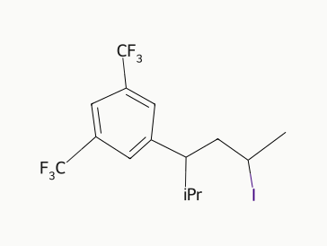 CC(I)CC(c1cc(C(F)(F)F)cc(C(F)(F)F)c1)C(C)C